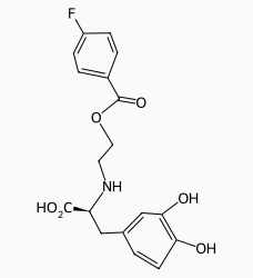 O=C(OCCN[C@@H](Cc1ccc(O)c(O)c1)C(=O)O)c1ccc(F)cc1